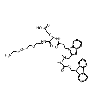 CN(Cc1cc2ccccc2n1CCC(=O)NC(CCC(=O)O)C(=O)NCCOCCOCCN)N(C)C(=O)OCC1c2ccccc2-c2ccccc21